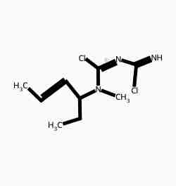 CC=CC(CC)N(C)/C(Cl)=N\C(=N)Cl